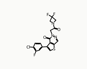 O=C(Cn1ncc2scc(-c3ccc(Cl)c(F)c3)c2c1=O)N1CC(F)(F)C1